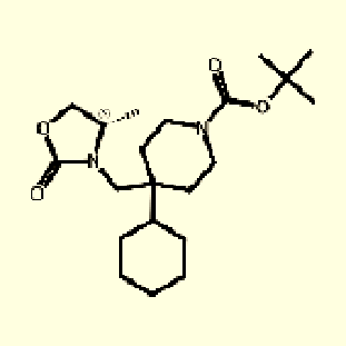 C[C@H]1COC(=O)N1CC1(C2CCCCC2)CCN(C(=O)OC(C)(C)C)CC1